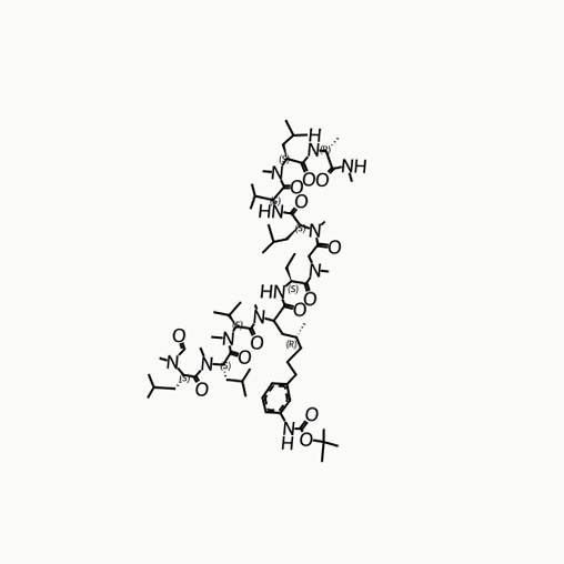 CC[C@H](NC(=O)C(C[C@H](C)CCCc1cccc(NC(=O)OC(C)(C)C)c1)N(C)C(=O)[C@H](C(C)C)N(C)C(=O)[C@H](CC(C)C)N(C)C(=O)[C@H](CC(C)C)N(C)C=O)C(=O)N(C)CC(=O)N(C)[C@@H](CC(C)C)C(=O)N[C@H](C(=O)N(C)[C@@H](CC(C)C)C(=O)N[C@H](C)C(=O)NC)C(C)C